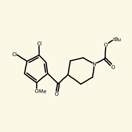 COc1cc(Cl)c(Cl)cc1C(=O)C1CCN(C(=O)OC(C)(C)C)CC1